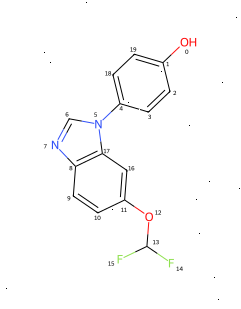 Oc1ccc(-n2cnc3ccc(OC(F)F)cc32)cc1